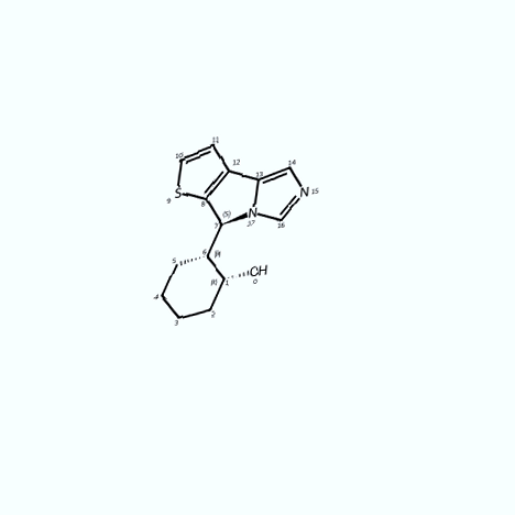 O[C@@H]1CCCC[C@@H]1[C@H]1c2sccc2-c2cncn21